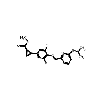 COC(=O)C1CC1c1cc(F)c(OCc2cccc(SC(C)C)n2)c(F)c1